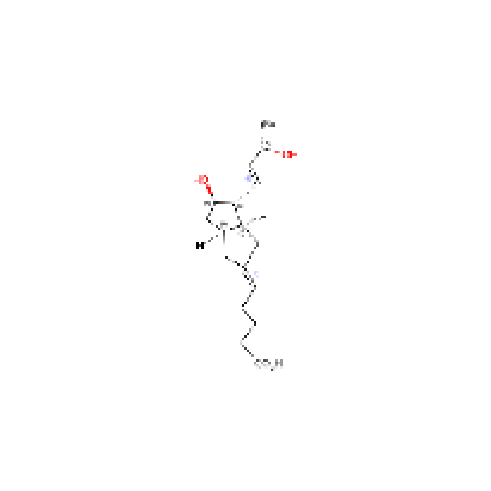 CCC(C)[C@H](O)/C=C/[C@@H]1[C@H]2C/C(=C/CCCC(=O)O)C[C@H]2C[C@H]1O